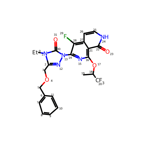 CCn1c(COCc2ccccc2)nn(-c2nc(OC(C)C(F)(F)F)c3c(=O)[nH]ccc3c2F)c1=O